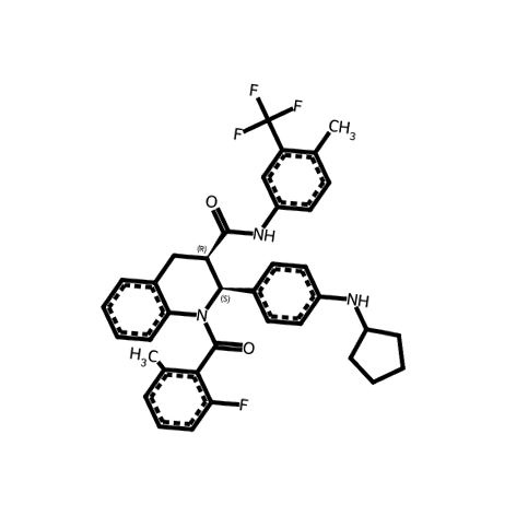 Cc1ccc(NC(=O)[C@@H]2Cc3ccccc3N(C(=O)c3c(C)cccc3F)[C@@H]2c2ccc(NC3CCCC3)cc2)cc1C(F)(F)F